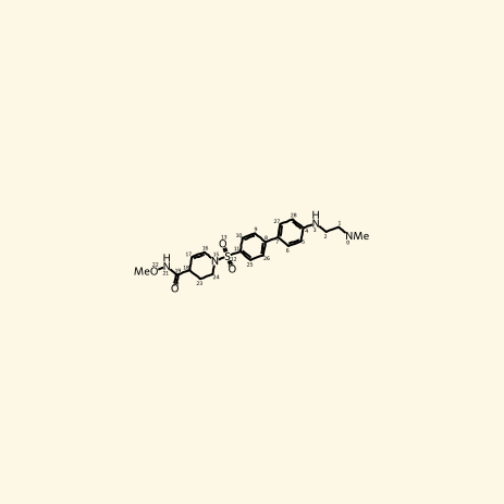 CNCCNc1ccc(-c2ccc(S(=O)(=O)N3C=CC(C(=O)NOC)CC3)cc2)cc1